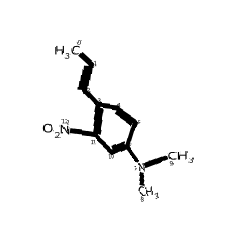 C/C=C/c1ccc(N(C)C)cc1[N+](=O)[O-]